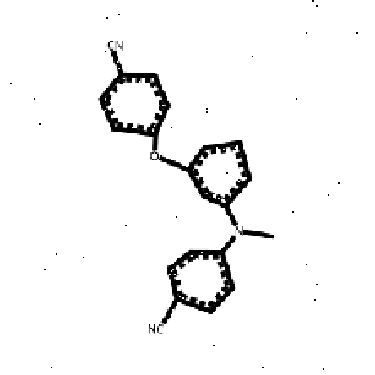 CN(c1ccc(C#N)cc1)c1cccc(Oc2ccc(C#N)cc2)c1